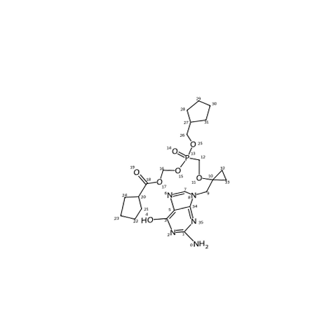 Nc1nc(O)c2ncn(CC3(OCP(=O)(OCOC(=O)C4CCCC4)OCC4CCCC4)CC3)c2n1